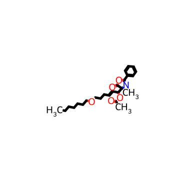 CCCCCCCOCCC/C=C/C(OC(C)=O)[C@]1(C)N=C(c2ccccc2)OC1=O